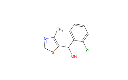 Cc1ncsc1C(O)c1ccccc1Cl